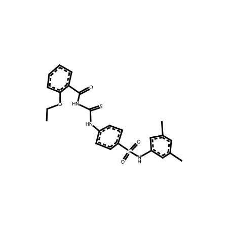 CCOc1ccccc1C(=O)NC(=S)Nc1ccc(S(=O)(=O)Nc2cc(C)cc(C)c2)cc1